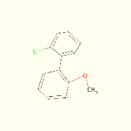 COc1[c]cccc1-c1ccccc1Cl